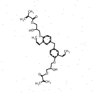 C=C(C)C(=O)OCC(O)COc1ccc(Cc2ccc(OCC(O)COC(=O)C(=C)C)c(/C=C\C)c2)cc1/C=C\C